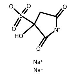 O=C1CC(O)(S(=O)(=O)[O-])C(=O)[N-]1.[Na+].[Na+]